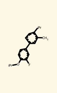 Cc1cc(-c2ccc(OC(C)C)c(F)c2)ccc1C(C)C